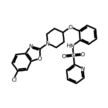 O=S(=O)(Nc1ccccc1OC1CCN(c2nc3ccc(Cl)cc3o2)CC1)c1ccccn1